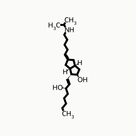 CCCCC[C@H](O)/C=C/[C@@H]1[C@H]2C/C(=C/CCCCNC(C)C)C[C@H]2C[C@H]1O